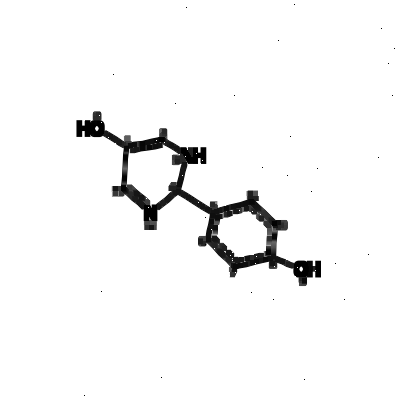 OC1=CNC(c2ccc(O)cc2)N=C1